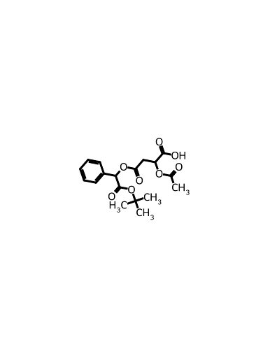 CC(=O)OC(CC(=O)OC(C(=O)OC(C)(C)C)c1ccccc1)C(=O)O